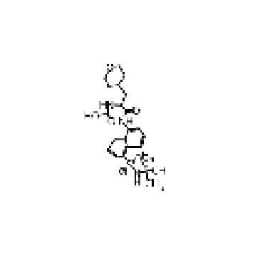 CC(C)(C)NS(=O)(=O)c1cccc2c(NC(=O)C(CC3CCOCC3)NC(=O)O)cccc12